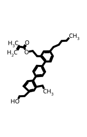 C=C(C)C(=O)OCCc1cc(CCCCC)ccc1-c1ccc(-c2ccc(CCO)cc2CC)cc1